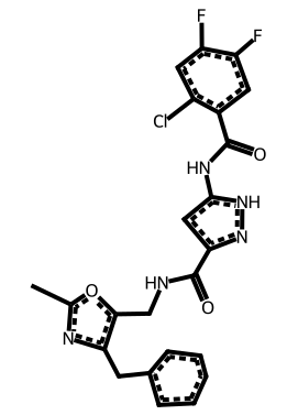 Cc1nc(Cc2ccccc2)c(CNC(=O)c2cc(NC(=O)c3cc(F)c(F)cc3Cl)[nH]n2)o1